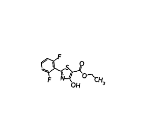 CCOC(=O)c1sc(-c2c(F)cccc2F)nc1O